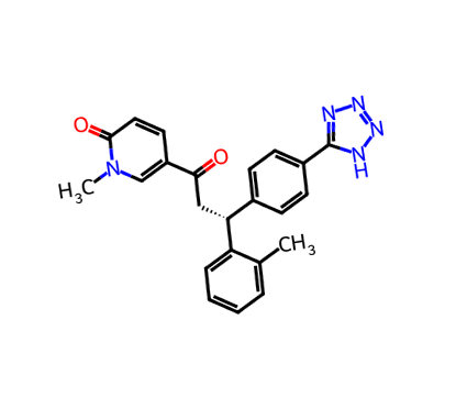 Cc1ccccc1[C@H](CC(=O)c1ccc(=O)n(C)c1)c1ccc(-c2nnn[nH]2)cc1